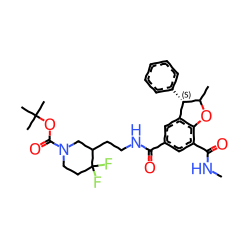 CNC(=O)c1cc(C(=O)NCCC2CN(C(=O)OC(C)(C)C)CCC2(F)F)cc2c1OC(C)[C@H]2c1ccccc1